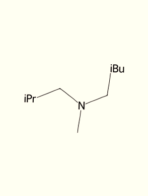 CCC(C)CN(C)CC(C)C